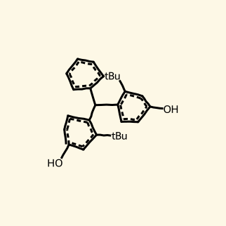 CC(C)(C)c1cc(O)ccc1C(c1ccccc1)c1ccc(O)cc1C(C)(C)C